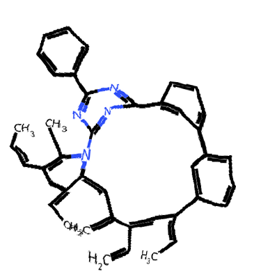 C=C/C1=C\C(=C/C)c2cccc(c2)-c2cccc(c2)-c2nc(-c3ccccc3)nc(n2)-n2c(C)c(/C=C\C)c(=C/C)/c2=C\C1=C